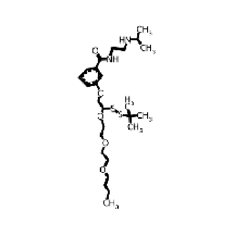 CCCCOCCOCCOC(COc1cccc(C(=O)NCCNC(C)C)c1)SSC(C)(C)C